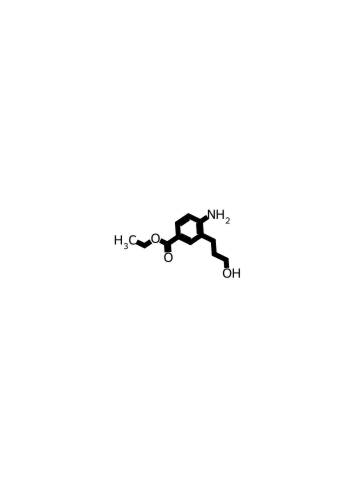 CCOC(=O)c1ccc(N)c(CCCO)c1